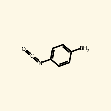 Bc1ccc(N=C=O)cc1